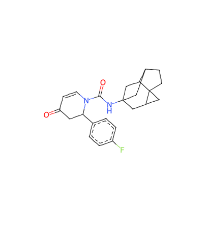 O=C1C=CN(C(=O)NC23CC4CCC5(CC5C2)C4C3)C(c2ccc(F)cc2)C1